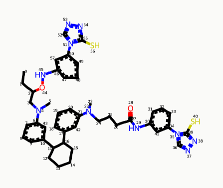 CCC(CN(C)c1cccc(C2CCCCC2c2cccc(N(C)CCCC(=O)Nc3cccc(-n4cnnc4S)c3)c2)c1)ONc1cccc(-n2cnnc2S)c1